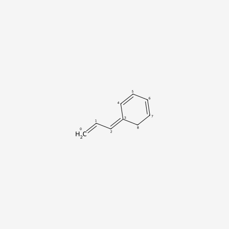 C=CC=C1C=CC=CC1